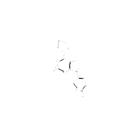 C[C@H]1CCCN1c1nc(Cl)nc2c1COC2c1ccc(F)cc1